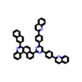 c1ccc2cc(-c3nc4ccccc4c4c3ccc3c(-c5nc(-c6ccc(-c7ccc8ccccc8n7)cc6)cc(-c6ccc(-c7ccc8ccccc8n7)cc6)n5)cccc34)ccc2c1